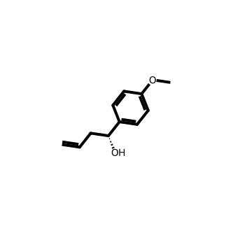 C=CC[C@@H](O)c1ccc(OC)cc1